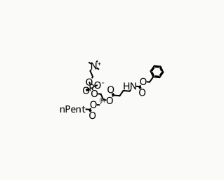 CCCCCC(=O)OC[C@H](COP(=O)([O-])OCC[N+](C)(C)C)OC(=O)CCCNC(=O)OCc1ccccc1